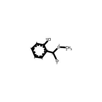 COC([O])c1ccccc1Cl